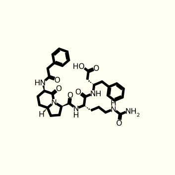 NC(=O)NCCC[C@H](NC(=O)[C@H]1CC[C@H]2CC[C@@H](NC(=O)Cc3ccccc3)C(=O)N21)C(=O)N[C@H](CC(=O)O)Cc1ccccc1